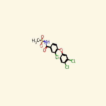 CS(=O)(=O)NC(=O)c1ccc(Oc2ccc(Cl)c(Cl)c2)c(Cl)c1